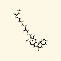 CCOCC1=Cc2c(C)cc3ccccc3c2C1CC(C)(C)OCCCC(=O)CCCCCCC(=O)OC(C)(C)C